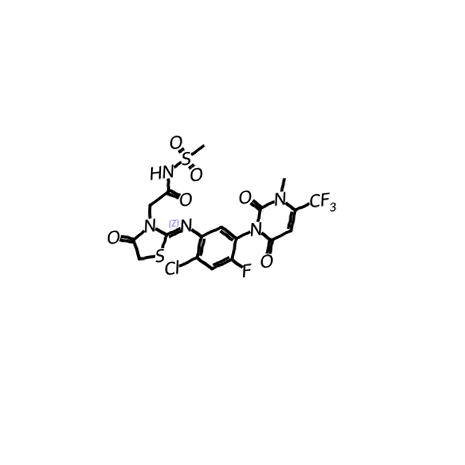 Cn1c(C(F)(F)F)cc(=O)n(-c2cc(/N=C3\SCC(=O)N3CC(=O)NS(C)(=O)=O)c(Cl)cc2F)c1=O